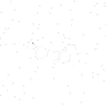 FC(F)(F)[C@H]1CC[C@H](Oc2cc(Br)c3c(c2)CCO3)CC1